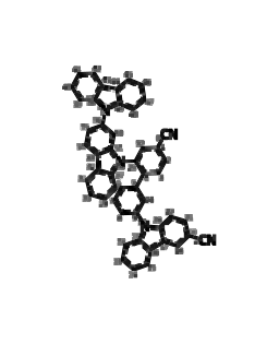 N#Cc1ccc(-c2cccc(-n3c4ccccc4c4cc(C#N)ccc43)c2)c(-n2c3ccccc3c3ccc(-n4c5ccccc5c5ccccc54)cc32)c1